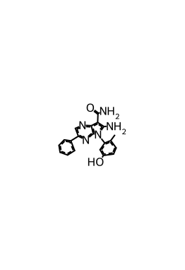 Cc1ccc(O)cc1-n1c(N)c(C(N)=O)c2ncc(-c3ccccc3)nc21